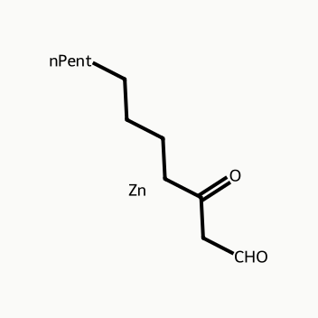 CCCCCCCCCC(=O)CC=O.[Zn]